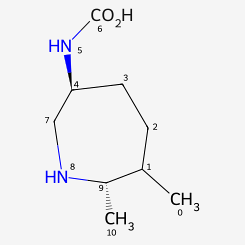 CC1CC[C@H](NC(=O)O)CN[C@H]1C